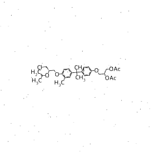 C=C(C)O[C@@H](CCl)COc1ccc(C(C)(C)c2ccc(OC[C@@H](COC(C)=O)OC(C)=O)cc2)cc1C